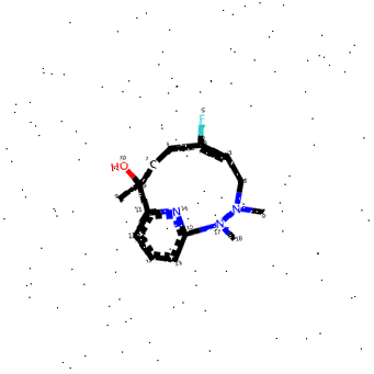 CN1C/C=C(/F)CCC(C)(O)c2cccc(n2)N1C